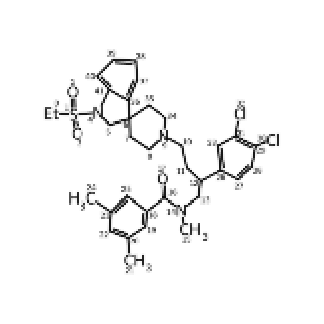 CCS(=O)(=O)N1CC2(CCN(CCC(CN(C)C(=O)c3cc(C)cc(C)c3)c3ccc(Cl)c(Cl)c3)CC2)c2ccccc21